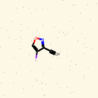 C#Cc1nocc1I